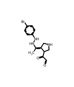 CC(NNc1ccc(Br)cc1)=C1CNCC1C(=O)C=O